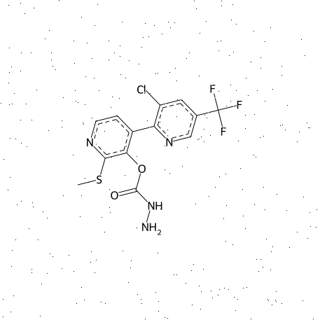 CSc1nccc(-c2ncc(C(F)(F)F)cc2Cl)c1OC(=O)NN